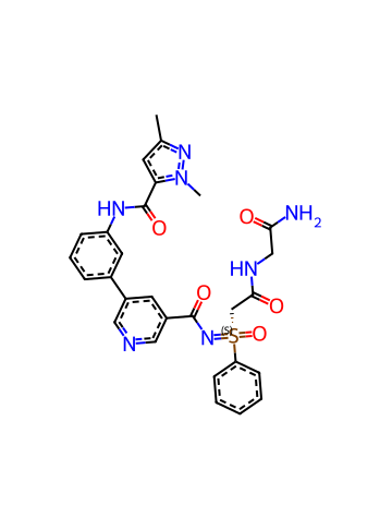 Cc1cc(C(=O)Nc2cccc(-c3cncc(C(=O)N=[S@](=O)(CC(=O)NCC(N)=O)c4ccccc4)c3)c2)n(C)n1